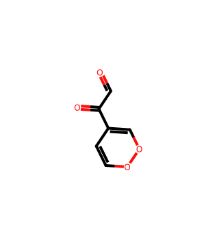 O=CC(=O)C1=COOC=C1